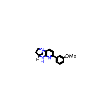 COc1cccc(-c2ccc3c(n2)N[C@H]2CCN3C2)c1